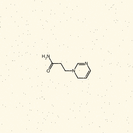 NC(=O)CCN1C=NC=CC1